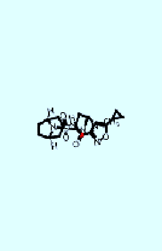 CN1CC2CCC1CN2S(=O)(=O)N1[C@@H]2CC[C@H]1C[C@@H](NC(=O)c1cc(C3CC3)on1)C2